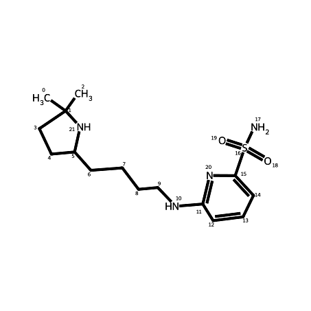 CC1(C)CCC(CCCCNc2cccc(S(N)(=O)=O)n2)N1